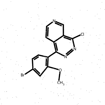 COc1cc(Br)ccc1-c1nnc(Cl)c2cnccc12